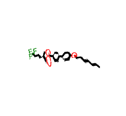 CCCCCCCO[C@H]1CC[C@H]([C@H]2CC[C@H]([C@H]3OC[C@H](CCCC(F)(F)F)CO3)CC2)CC1